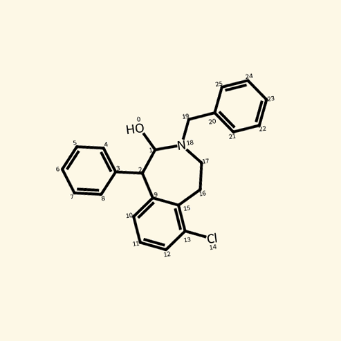 OC1C(c2ccccc2)c2cccc(Cl)c2CCN1Cc1ccccc1